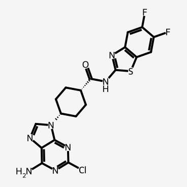 Nc1nc(Cl)nc2c1ncn2[C@H]1CC[C@@H](C(=O)Nc2nc3cc(F)c(F)cc3s2)CC1